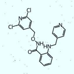 O=C(NOCc1cc(Cl)nc(Cl)c1)c1ccccc1NCc1ccncc1